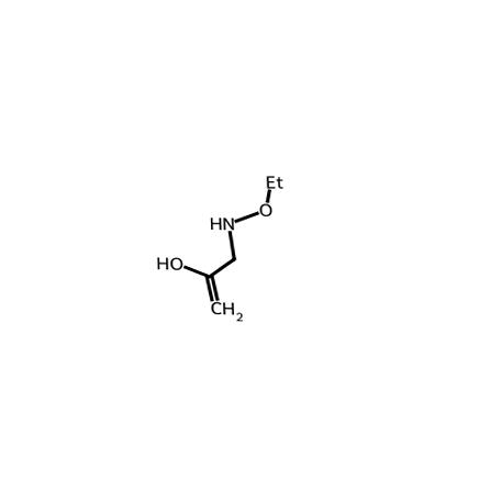 C=C(O)CNOCC